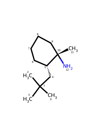 CC(C)(C)C[C@@H]1CCCC[C@]1(C)N